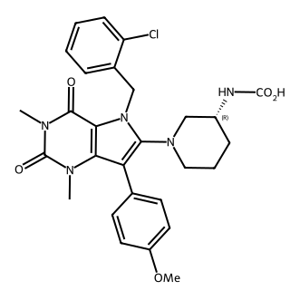 COc1ccc(-c2c(N3CCC[C@@H](NC(=O)O)C3)n(Cc3ccccc3Cl)c3c(=O)n(C)c(=O)n(C)c23)cc1